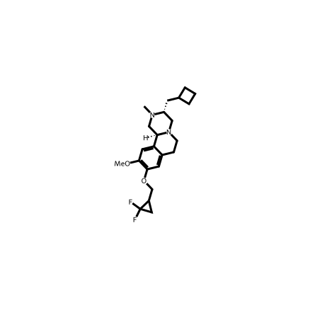 COc1cc2c(cc1OCC1CC1(F)F)CCN1C[C@@H](CC3CCC3)N(C)C[C@H]21